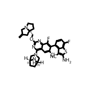 C=C1CN2CCC[C@@]2(COc2nc(N3C[C@@H]4CC[C@@H](C3)N4)c3cc(Cl)c(-c4ccc(F)c5sc(N)c(C#N)c45)c(F)c3n2)C1